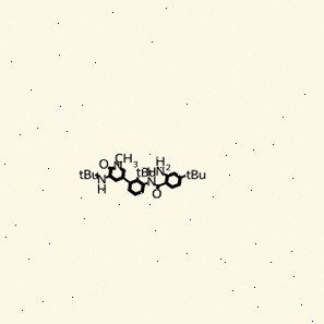 Cn1cc(-c2cccc(NC(=O)c3ccc(C(C)(C)C)cc3N)c2C(C)(C)C)cc(NC(C)(C)C)c1=O